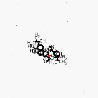 CC(C)[C@@H](C)[C@@]1(C)CC[C@]2(C)[C@H]3CC[C@@H]4[C@@]5(COC[C@@]4(C)[C@@H](OC[C@](C)(N)C(C)C)[C@H](n4ncnc4-c4cccnc4)C5)C3=CC[C@@]2(C)[C@@H]1C(=O)O